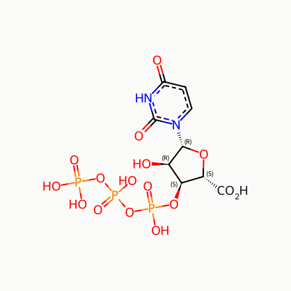 O=C(O)[C@H]1O[C@@H](n2ccc(=O)[nH]c2=O)[C@H](O)[C@@H]1OP(=O)(O)OP(=O)(O)OP(=O)(O)O